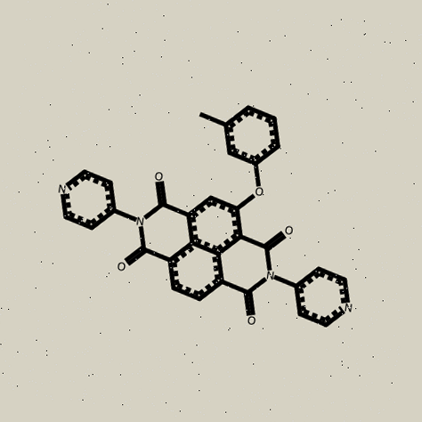 Cc1cccc(Oc2cc3c4c(ccc5c4c2C(=O)N(c2ccncc2)C5=O)C(=O)N(c2ccncc2)C3=O)c1